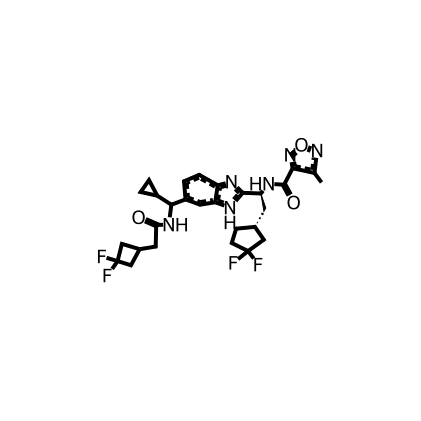 Cc1nonc1C(=O)N[C@@H](C[C@H]1CCC(F)(F)C1)c1nc2ccc(C(NC(=O)CC3CC(F)(F)C3)C3CC3)cc2[nH]1